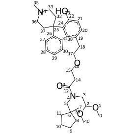 COC(CN(CC1(C)CCCC1)C(=O)CCOCCc1ccc(O)c(C2(c3ccccc3)CCN(C)CC2)c1)OC